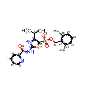 CC(C)c1nc(NC(=O)c2ccccn2)sc1S(=O)(=O)OCc1c(F)cccc1F